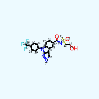 Cn1cc2c3cc(C(=O)N=S(C)(=O)CCO)ccc3n(-c3ccc(C(F)(F)F)cc3)c2n1